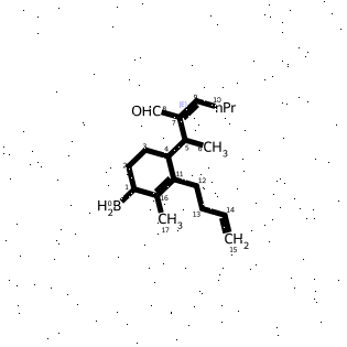 BC1CCC(C(C)/C(C=O)=C\CCC)C(CCC=C)=C1C